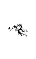 C=CC(N)[N]C(C=C)C(N)=O